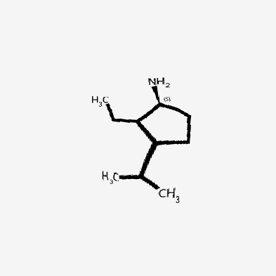 CCC1C(C(C)C)CC[C@@H]1N